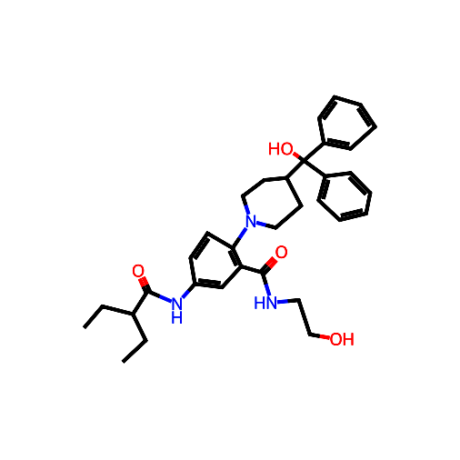 CCC(CC)C(=O)Nc1ccc(N2CCC(C(O)(c3ccccc3)c3ccccc3)CC2)c(C(=O)NCCO)c1